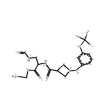 CCOC(=O)C(CNC=O)NC(=O)C1CN(Sc2cccc(OC(F)(F)F)c2)C1